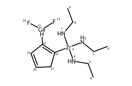 CC[NH][Zr]([NH]CC)([NH]CC)[C]1=[C]([GeH]([F])[F])C=CC1